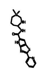 C[Si]1(C)CCCC(NC(=O)c2cc3sc(-c4ccccn4)nc3[nH]2)NC1